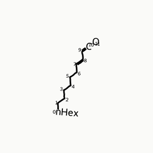 CCCCCCCCCCCCC=CC=C=O